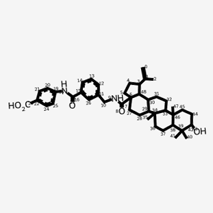 C=C(C)C1CCC2(C(=O)NCc3cccc(C(=O)Nc4ccc(C(=O)O)cc4)c3)CCC3C(CCC4C3(C)CCC3C(C)(C)C(O)CCC34C)C12